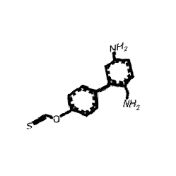 Nc1ccc(N)c(-c2ccc(OC=S)cc2)c1